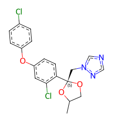 CC1CO[C@@](Cn2cncn2)(c2ccc(Oc3ccc(Cl)cc3)cc2Cl)O1